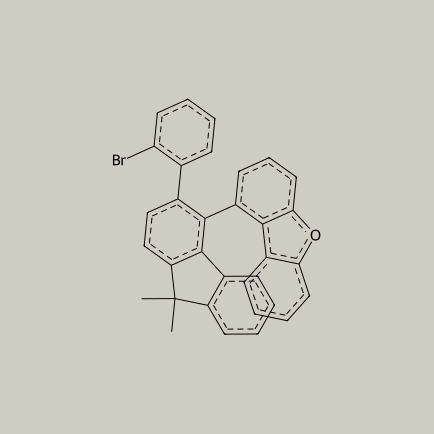 CC1(C)c2ccccc2-c2c1ccc(-c1ccccc1Br)c2-c1cccc2oc3ccccc3c12